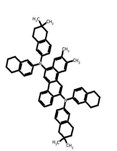 Cc1cc2c(N(c3ccc4c(c3)CCCC4)c3ccc4c(c3)CCC(C)(C)C4)cc3c4ccccc4c(N(c4ccc5c(c4)CCCC5)c4ccc5c(c4)CCC(C)(C)C5)cc3c2cc1C